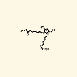 CCCCCCCOCCOCC[C@H]1[C@H](CO)C[C@H](O)[C@@H]1CC=CCCCC(=O)OC(C)C